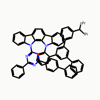 CCCC(c1cccc(-c2cc(-c3ccccc3)cc(-c3ccccc3-n3c4ccccc4c4ccc5c6ccccc6n(-c6nc(-c7ccccc7)nc(-c7ccc(-c8ccccc8)cc7)n6)c5c43)c2)c1)C(C)C